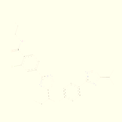 CCC(Oc1ccc(-c2noc(C(C)C)n2)cc1)c1nc(-c2ccc(C(=O)NCCO)c(F)c2)no1